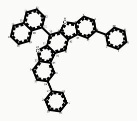 c1ccc(-c2ccc3oc4c(-c5cccc6ccccc56)c5oc6ccc(-c7ccccc7)cc6c5cc4c3c2)cc1